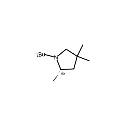 C[C@H]1CC(C)(C)CN1C(C)(C)C